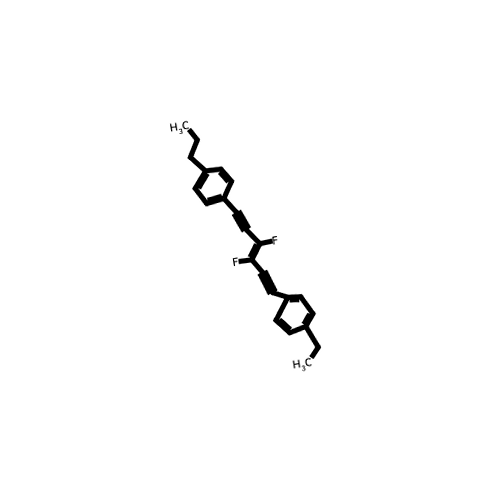 CCCc1ccc(C#C/C(F)=C(\F)C#Cc2ccc(CC)cc2)cc1